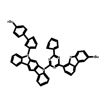 CCCCc1ccc(-c2cccc(-n3c4ccccc4c4cc5c6ccccc6n(-c6nc(-c7ccccc7)nc(-c7cccc8c7sc7ccc(CCCC)cc78)n6)c5cc43)c2)cc1